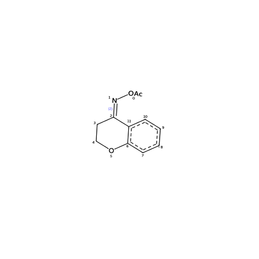 CC(=O)O/N=C1/CCOc2c[c]ccc21